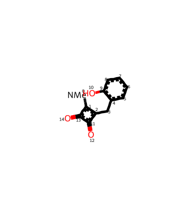 CNc1c(Cc2ccccc2O)c(=O)c1=O